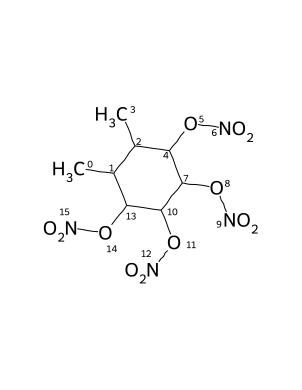 CC1C(C)C(O[N+](=O)[O-])C(O[N+](=O)[O-])C(O[N+](=O)[O-])C1O[N+](=O)[O-]